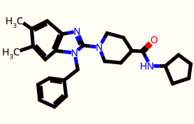 Cc1cc2nc(N3CCC(C(=O)NC4CCCC4)CC3)n(Cc3ccccc3)c2cc1C